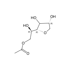 CC(=O)OC[C@@H](O)[C@H]1OC[C@@H](O)C1O